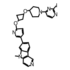 Cn1c2ccncc2c2ccc(-c3ccc(OC4CC(OC5CCN(c6ccnc(I)n6)CC5)C4)nc3)cc21